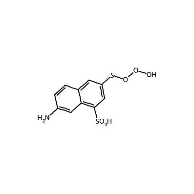 Nc1ccc2cc(SOOO)cc(S(=O)(=O)O)c2c1